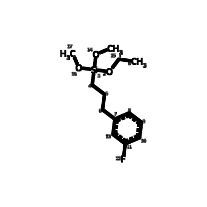 CCO[Si](CCCc1cccc(F)c1)(OC)OC